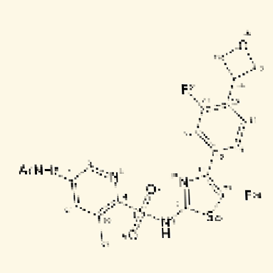 CC(=O)Nc1cnc(S(=O)(=O)Nc2nc(-c3ccc(C4COC4)c(F)c3)c(F)s2)c(C)c1